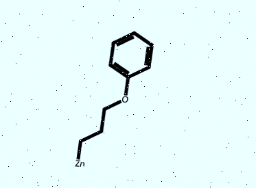 [Zn][CH2]CCOc1ccccc1